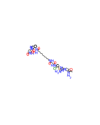 C[C@@H]1OCC2(CCN(c3cnc(Sc4cccc(NC(=O)CCC(=O)NCCCCCCCCCCCC(=O)Nc5cccc6cnn(C7CCC(=O)NC7=O)c(=O)c56)c4Cl)c(N)n3)CC2)[C@@H]1N